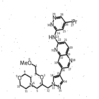 COCCOC(CN1CCOCC1)Cn1cc(-c2cnc3ccc(Nc4cc(C(C)C)cnn4)nc3c2)cn1